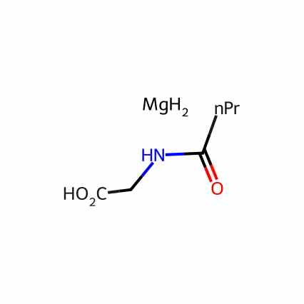 CCCC(=O)NCC(=O)O.[MgH2]